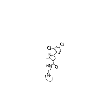 CC1=C(C(=O)NCCN2CCCCC2)CC(c2ccc(Cl)cc2Cl)=N1